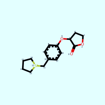 O=C1OCCC1Oc1ccc(C[S+]2CCCC2)cc1